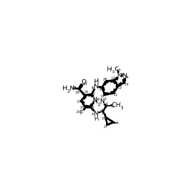 C[C@H](N)[C@H](Nc1nc(Nc2ccc3cnn(C)c3c2)c(C(N)=O)cc1F)C1CC1